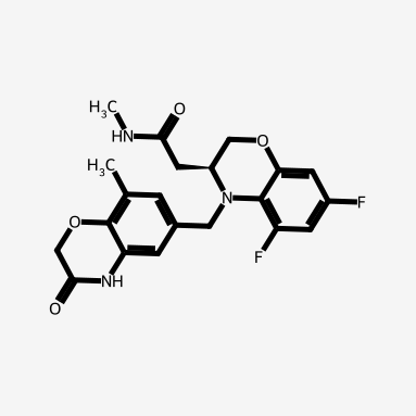 CNC(=O)C[C@H]1COc2cc(F)cc(F)c2N1Cc1cc(C)c2c(c1)NC(=O)CO2